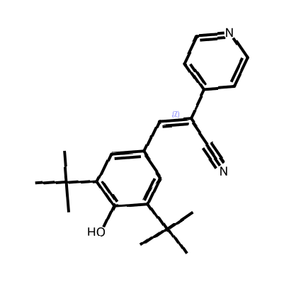 CC(C)(C)c1cc(/C=C(\C#N)c2ccncc2)cc(C(C)(C)C)c1O